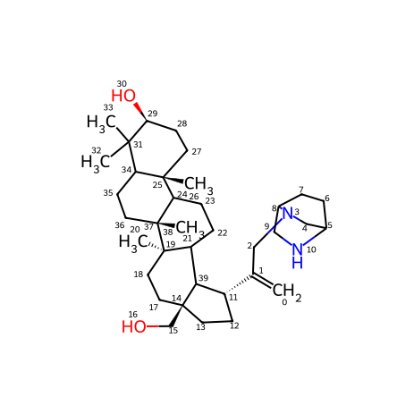 C=C(CN1CC2CCC1CN2)[C@@H]1CC[C@]2(CO)CC[C@]3(C)C(CCC4[C@@]5(C)CC[C@H](O)C(C)(C)C5CC[C@]43C)C12